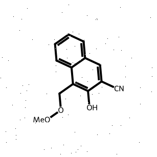 COOCc1c(O)c(C#N)cc2ccccc12